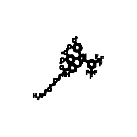 COc1ccc(-c2nc(-c3cc(C(F)(F)F)cc(C(F)(F)F)c3)n(Cc3ccc(C(=O)NCCOCCOCCN)cc3)c2-c2ccc(OC)c(OC)c2)cc1OC